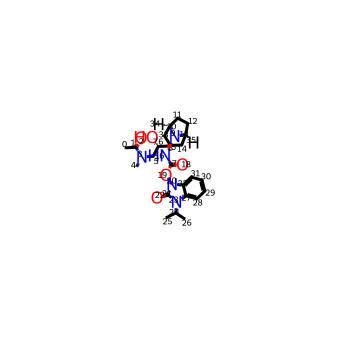 CC(=O)N(C)C[C@H](O)CN1[C@@H]2CC[C@H]1C[C@H](NC(=O)On1c(=O)n(C(C)C)c3ccccc31)C2